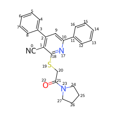 N#Cc1c(-c2ccccc2)cc(-c2ccccc2)nc1SCC(=O)N1CCCC1